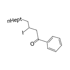 CCCCCCCCC(I)CC(=O)c1ccccc1